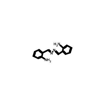 Nc1ccccc1C=NN=Cc1ccccc1N